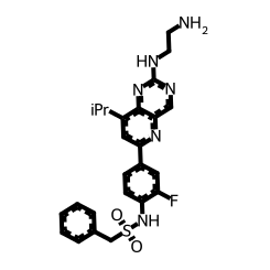 CC(C)c1cc(-c2ccc(NS(=O)(=O)Cc3ccccc3)c(F)c2)nc2cnc(NCCN)nc12